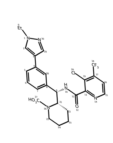 CCn1cc(-c2cccc([C@H](NC(=O)c3nccc(C(F)(F)F)c3Cl)[C@@H]3CCCCN3C(=O)O)c2)cn1